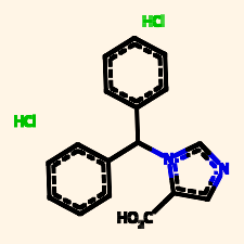 Cl.Cl.O=C(O)c1cncn1C(c1ccccc1)c1ccccc1